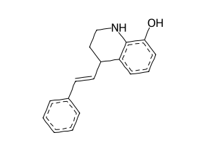 Oc1cccc2c1NCCC2C=Cc1ccccc1